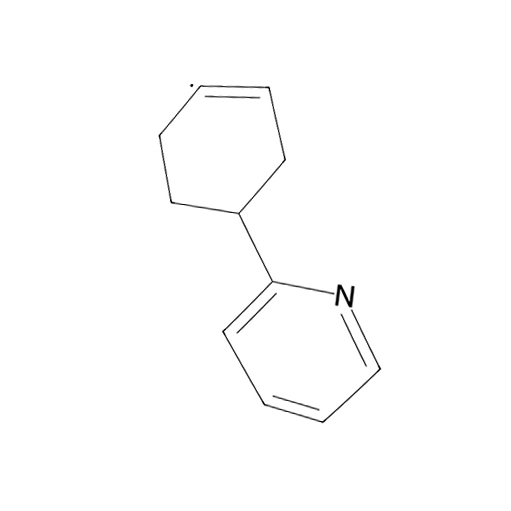 [C]1=CCC(c2ccccn2)CC1